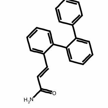 NC(=O)C=Cc1ccccc1-c1ccccc1-c1ccccc1